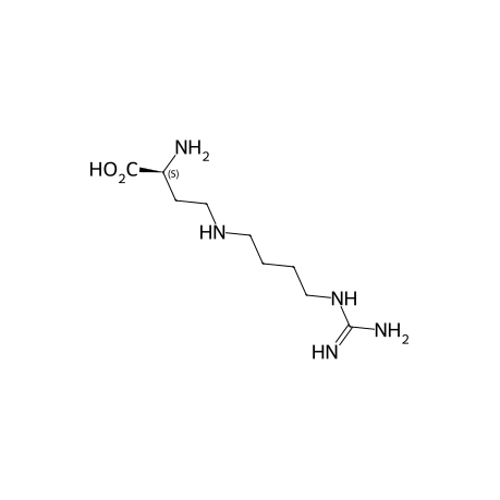 N=C(N)NCCCCNCC[C@H](N)C(=O)O